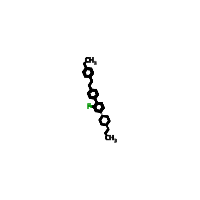 CCC[C@H]1CC[C@H](c2ccc(-c3ccc(CCc4ccc(CC)cc4)cc3)c(F)c2)CC1